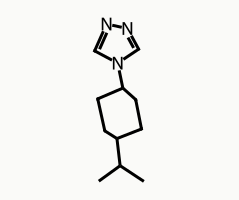 CC(C)C1CCC(n2cnnc2)CC1